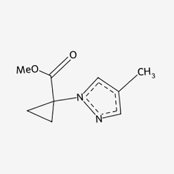 COC(=O)C1(n2cc(C)cn2)CC1